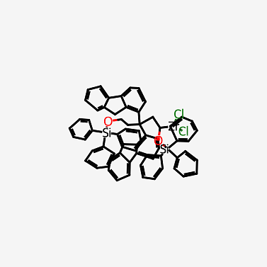 [Cl][Zr]([Cl])[CH](CC(CCO[Si](c1ccccc1)(c1ccccc1)c1ccccc1)(c1cccc2c1Cc1ccccc1-2)c1cccc2c1Cc1ccccc1-2)O[Si](c1ccccc1)(c1ccccc1)c1ccccc1